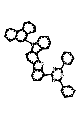 c1ccc(-c2nc(-c3ccccc3)nc(-c3cccc4c3sc3c4ccc4c3c3ccccc3n4-c3cc4ccccc4c4ccccc34)n2)cc1